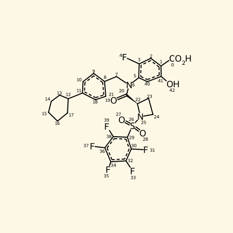 O=C(O)c1cc(F)c(N(Cc2ccc(C3CCCCC3)cc2)C(=O)[C@H]2CCN2S(=O)(=O)c2c(F)c(F)c(F)c(F)c2F)cc1O